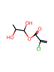 C=C(Cl)C(=O)OC(O)C(C)O